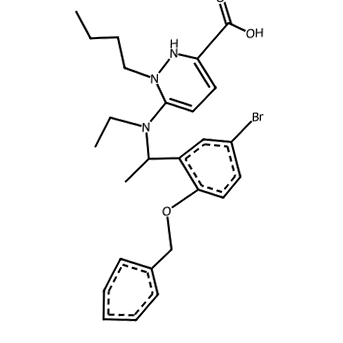 CCCCN1NC(C(=O)O)=CC=C1N(CC)C(C)c1cc(Br)ccc1OCc1ccccc1